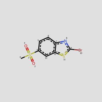 CS(=O)(=O)c1ccc2nc(Br)sc2c1